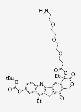 CCc1c2c(nc3ccc(OC(=O)OC(C)(C)C)cc13)-c1cc3c(c(=O)n1C2)COC(=O)C3(CC)OC(=O)CCOCCOCCOCCN